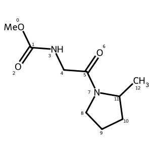 COC(=O)NCC(=O)N1CCCC1C